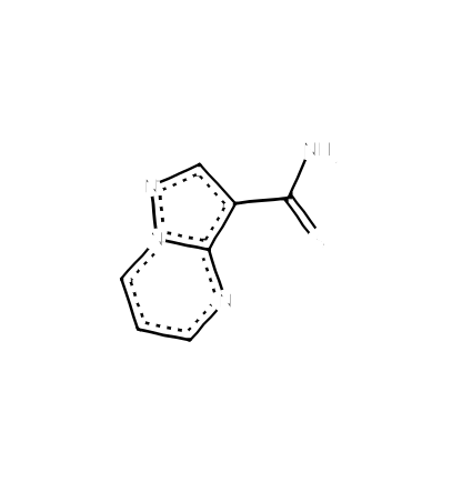 NC(=S)c1cnn2cccnc12